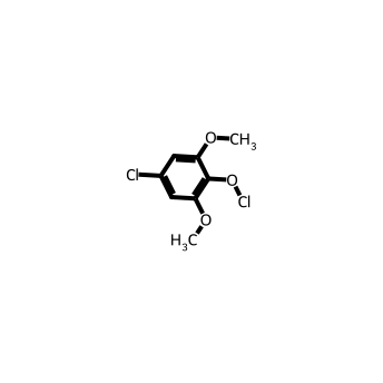 COc1cc(Cl)cc(OC)c1OCl